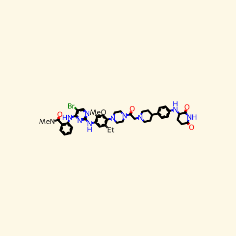 CCc1cc(Nc2ncc(Br)c(Nc3ccccc3C(=O)NC)n2)c(OC)cc1N1CCN(C(=O)CN2CCC(c3ccc(NC4CCC(=O)NC4=O)cc3)CC2)CC1